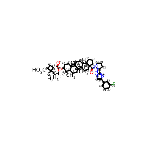 CC1(C)C2CC[C@]3(C)C(CC[C@@H]4[C@H]5CCC[C@]5(C(=O)N5CCC[C@H]5c5nc(-c6cccc(F)c6)c[nH]5)CC[C@]43C)[C@@]2(C)CC[C@@H]1OC(=O)[C@H]1C[C@@H](C(=O)O)C1(C)C